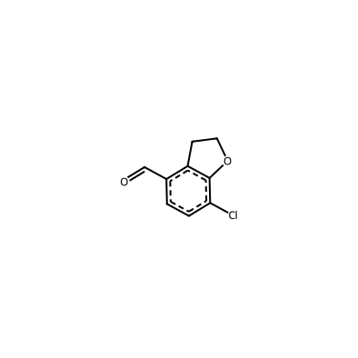 O=Cc1ccc(Cl)c2c1CCO2